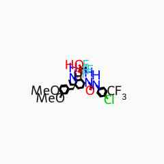 COc1ccc(C[C@@]23CCN[C@H]2C[C@H](NC(=O)Nc2ccc(Cl)c(C(F)(F)F)c2)CC3)cc1OC.O=C(O)C(F)(F)F